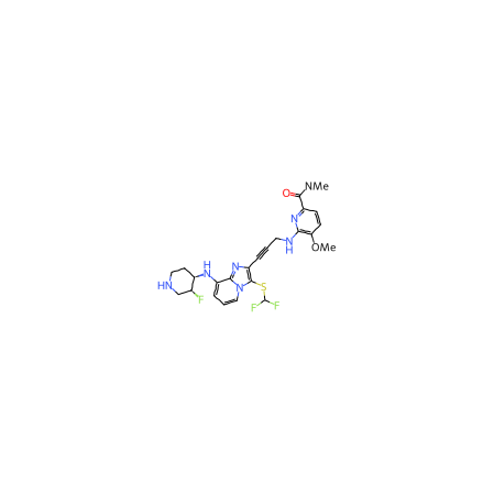 CNC(=O)c1ccc(OC)c(NCC#Cc2nc3c(N[C@@H]4CCNC[C@@H]4F)cccn3c2SC(F)F)n1